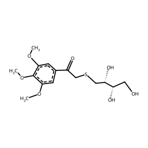 COc1cc(C(=O)CSC[C@H](O)[C@@H](O)CO)cc(OC)c1OC